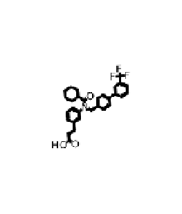 O=C(O)C=Cc1cccc(N(Cc2ccc(-c3cccc(C(F)(F)F)c3)cc2)C(=O)C2CCCCC2)c1